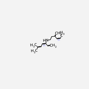 C=C/C(=C\C=C(C)C)NCCC(=C)/C=C\C